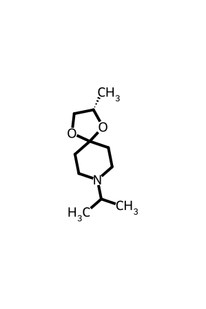 CC(C)N1CCC2(CC1)OC[C@H](C)O2